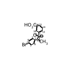 CN(c1ccc(Br)cc1)S(=O)(=O)c1cccc(C(=O)O)c1